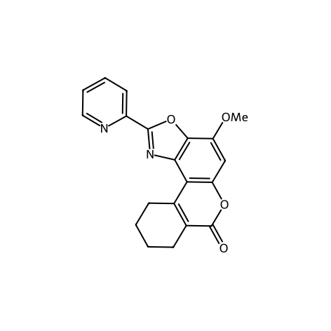 COc1cc2oc(=O)c3c(c2c2nc(-c4ccccn4)oc12)CCCC3